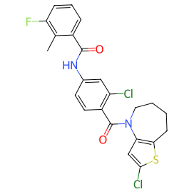 Cc1c(F)cccc1C(=O)Nc1ccc(C(=O)N2CCCCc3sc(Cl)cc32)c(Cl)c1